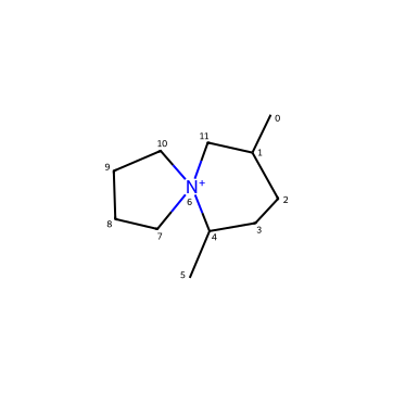 CC1CCC(C)[N+]2(CCCC2)C1